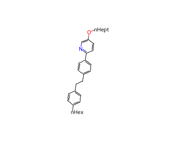 CCCCCCCOc1ccc(-c2ccc(CCc3ccc(CCCCCC)cc3)cc2)nc1